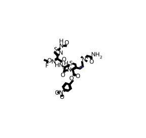 CC(F)ON=C(C(=O)N[C@@H]1C(=O)N2C(C(=O)OCc3ccc([N+](=O)[O-])cc3)=C(/C=C\C[N+](C)(C)CC(N)=O)CS[C@@H]12)c1csc(NC=O)n1